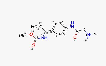 CN(C)CC(=O)Nc1ccc(C(NC(=O)OC(C)(C)C)C(=O)O)cc1